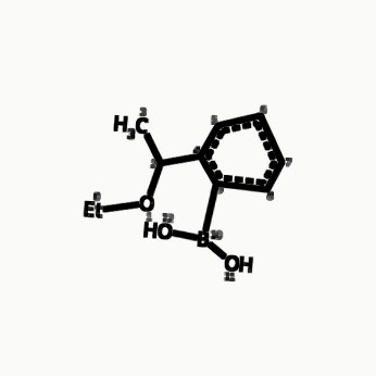 CCOC(C)c1ccccc1B(O)O